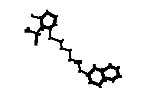 Cc1cccc(COCCCNCc2ccc3ccccc3n2)c1C(=O)O